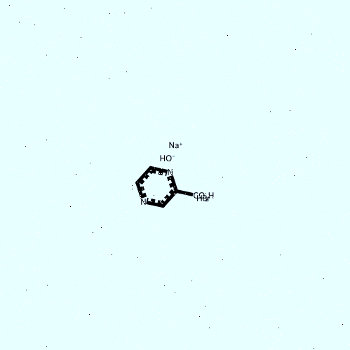 Br.O=C(O)c1cnccn1.[Na+].[OH-]